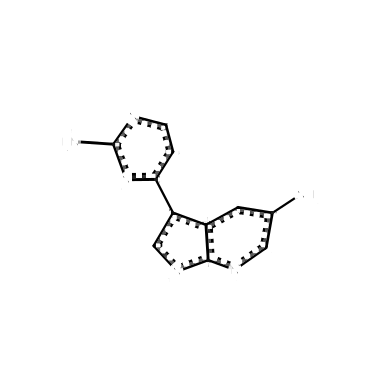 Nc1cnc2[nH]cc(-c3ccnc(N)n3)c2c1